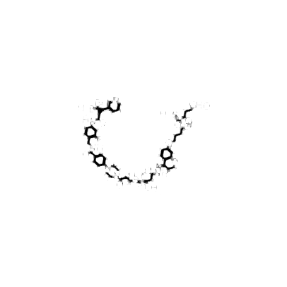 BC1(B)C(C(=O)Nc2ccc(CNC(=O)c3ccc(N4CCN(C(=O)CCSSC(C)(C)CC(=O)N/N=C5\CCOc6cc(OCCCC(=O)ON(C)C(=O)CCC=O)ccc65)CC4)cc3)c(F)c2)C1c1cccnc1